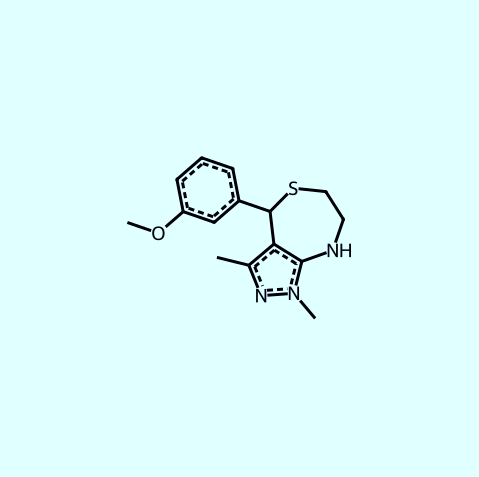 COc1cccc(C2SCCNc3c2c(C)nn3C)c1